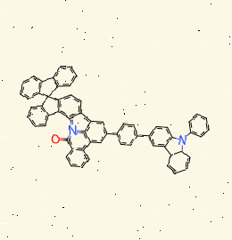 O=c1c2ccccc2c2cc(-c3ccc(-c4ccc5c(c4)C4C=CC=CC4N5c4ccccc4)cc3)cc3c4ccc5c(c4n1c23)-c1ccccc1C51c2ccccc2-c2ccccc21